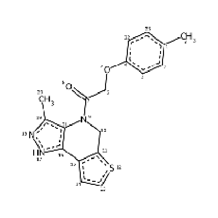 Cc1ccc(OCC(=O)N2Cc3sccc3-c3[nH]nc(C)c32)cc1